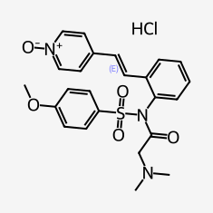 COc1ccc(S(=O)(=O)N(C(=O)CN(C)C)c2ccccc2/C=C/c2cc[n+]([O-])cc2)cc1.Cl